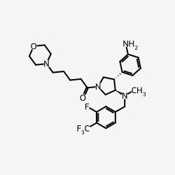 CN(Cc1ccc(C(F)(F)F)c(F)c1)[C@H]1CN(C(=O)CCCCN2CCOCC2)C[C@@H]1c1cccc(N)c1